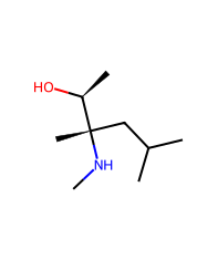 CN[C@@](C)(CC(C)C)[C@H](C)O